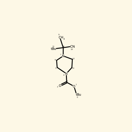 CC(C)(C)OC(=O)N1CCN(C(C)(C#N)C(C)(C)C)CC1